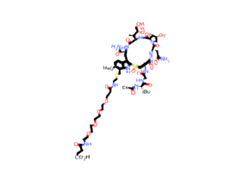 CCC(=O)N[C@H](C(=O)NCC(=O)N[C@H]1C[S+]([O-])c2[nH]c3c(CSCCNC(=O)CCOCCOCCOCCOCCNC(=O)CCC(=O)O)c(OC)ccc3c2C[C@@H](C(N)=O)NC(=O)[C@H]([C@@H](C)[C@@H](O)CO)NC(=O)[C@@H]2C[C@@H](O)CN2C(=O)[C@H](CC(N)=O)NC1=O)[C@@H](C)CC